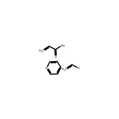 C=CC(=O)O.C=CCl.c1ccncc1